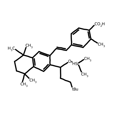 Cc1cc(/C=C/c2cc3c(cc2C(CCC(C)(C)C)O[SiH](C)C)C(C)(C)CCC3(C)C)ccc1C(=O)O